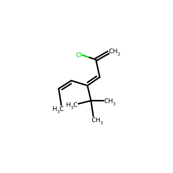 C=C(Cl)/C=C(\C=C/C)C(C)(C)C